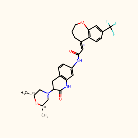 C[C@@H]1CN(C2Cc3ccc(NC(=O)/C=C4\CCCOc5cc(C(F)(F)F)ccc54)cc3NC2=O)C[C@H](C)O1